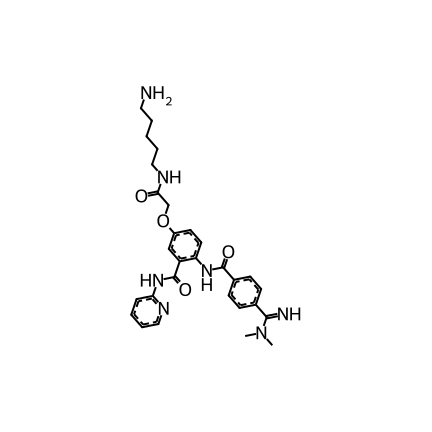 CN(C)C(=N)c1ccc(C(=O)Nc2ccc(OCC(=O)NCCCCCN)cc2C(=O)Nc2ccccn2)cc1